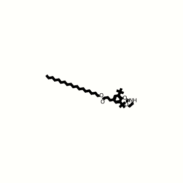 CCCCCCCCCCCCCCCCCCOC(=O)CCc1cc(C(C)(C)C)c(OP2NCCO2)c(C(C)(C)C)c1